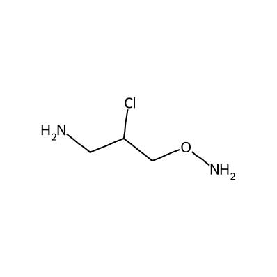 NCC(Cl)CON